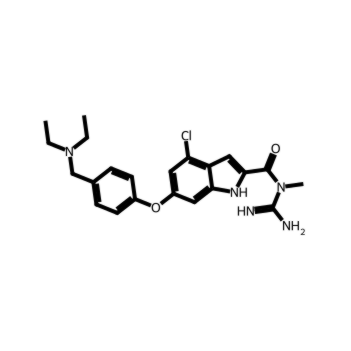 CCN(CC)Cc1ccc(Oc2cc(Cl)c3cc(C(=O)N(C)C(=N)N)[nH]c3c2)cc1